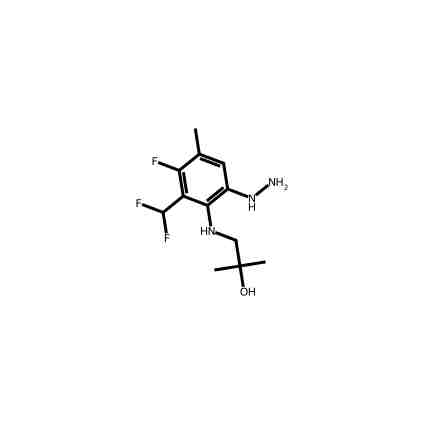 Cc1cc(NN)c(NCC(C)(C)O)c(C(F)F)c1F